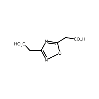 O=C(O)Cc1noc(CC(=O)O)n1